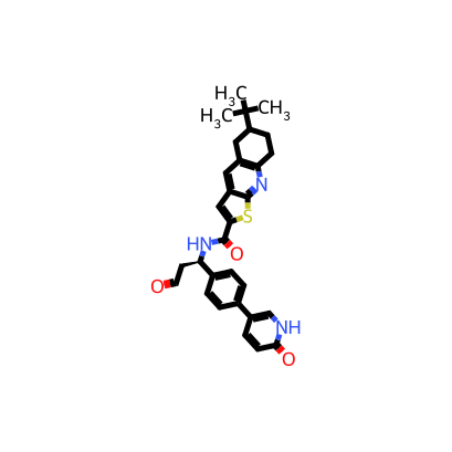 CC(C)(C)C1CCc2nc3sc(C(=O)N[C@H](CC=O)c4ccc(-c5ccc(=O)[nH]c5)cc4)cc3cc2C1